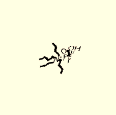 CCCC[N+](CCCC)(CCCC)CCCC.O=C(O)C(F)(F)F